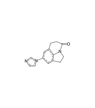 O=C1CCc2cc(-n3ccnc3)cc3c2N1CC3